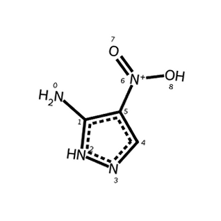 Nc1[nH]ncc1[N+](=O)O